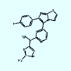 NN(c1nccc(-c2c(-c3ccc(F)cc3)nc3occn23)n1)c1n[nH]c(S)n1